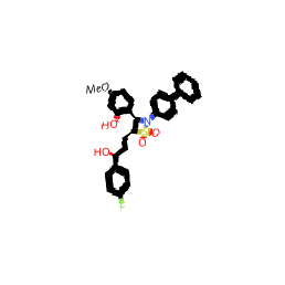 COc1ccc([C@@H]2[C@H](CC[C@H](O)c3ccc(F)cc3)S(=O)(=O)N2c2ccc(-c3ccccc3)cc2)c(O)c1